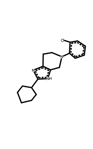 Clc1ccccc1N1CCc2nc(C3CCCCC3)[nH]c2C1